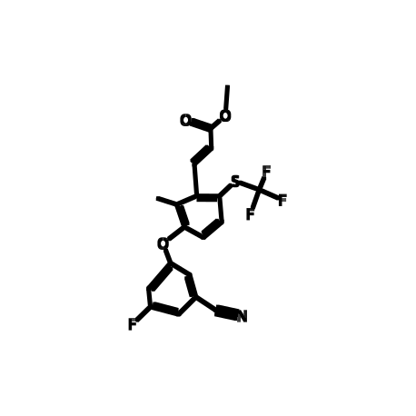 COC(=O)/C=C/c1c(SC(F)(F)F)ccc(Oc2cc(F)cc(C#N)c2)c1C